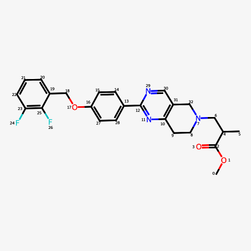 COC(=O)C(C)CN1CCc2nc(-c3ccc(OCc4cccc(F)c4F)cc3)ncc2C1